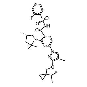 Cc1cn(-c2ccc(C(=O)NS(=O)(=O)c3ccccc3F)c(N3C[C@@H](C)CC3(C)C)n2)nc1OCC1(C(C)F)CC1